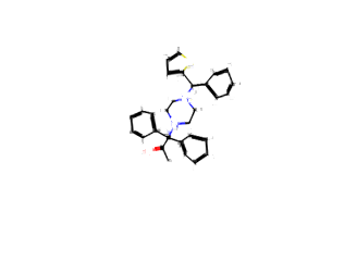 CC(=O)C(c1ccccc1)(c1ccccc1)N1CCN(C(c2ccccc2)c2cccs2)CC1